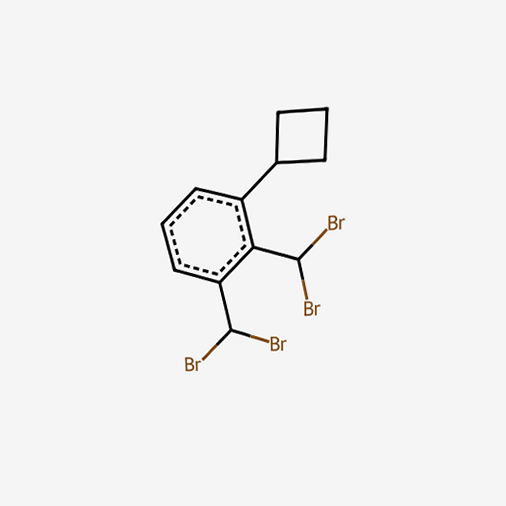 BrC(Br)c1cccc(C2CCC2)c1C(Br)Br